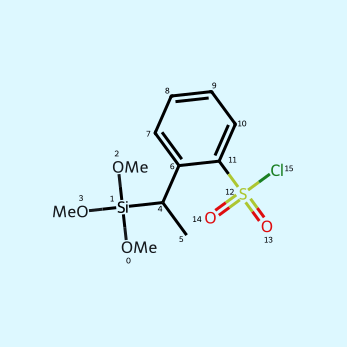 CO[Si](OC)(OC)C(C)c1ccccc1S(=O)(=O)Cl